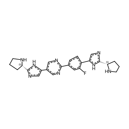 Fc1cc(-c2ncc(-c3cnc([C@@H]4CCCN4)[nH]3)cn2)ccc1-c1cnc([C@@H]2CCCN2)[nH]1